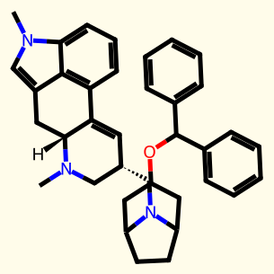 CN1C[C@@H](CN2C3CCC2CC(OC(c2ccccc2)c2ccccc2)C3)C=C2c3cccc4c3c(cn4C)C[C@H]21